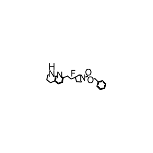 O=C(OCc1ccccc1)N1CCC(F)(CCc2ccc3c(n2)NCCC3)C1